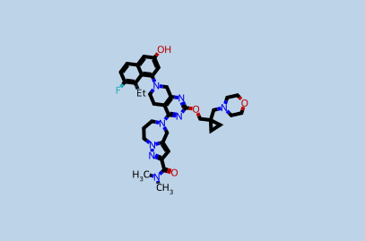 CCc1c(F)ccc2cc(O)cc(N3CCc4c(nc(OCC5(CN6CCOCC6)CC5)nc4N4CCCn5nc(C(=O)N(C)C)cc5C4)C3)c12